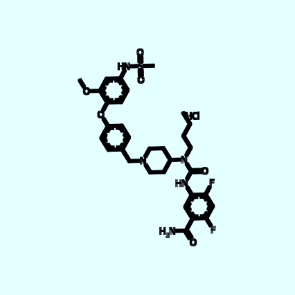 CCCCN(C(=O)Nc1cc(C(N)=O)c(F)cc1F)C1CCN(Cc2ccc(Oc3ccc(NS(C)(=O)=O)cc3OC)cc2)CC1.Cl